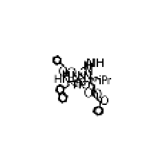 CC(C)C[C@H](NC(=O)[C@@H](Cc1c[nH]cn1)NC(=O)[C@H](Cc1cccc2ccccc12)NC(=O)OCc1ccccc1)[C@@H](O)CC(=O)OCC(=O)c1ccccc1